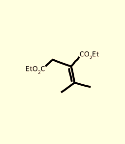 CCOC(=O)CC(C(=O)OCC)=C(C)C